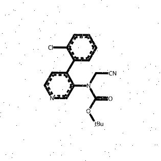 CC(C)(C)OC(=O)N(CC#N)c1cnccc1-c1ccccc1Cl